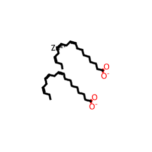 CC/C=C\C/C=C\C/C=C\CCCCCCCC(=O)[O-].CC/C=C\C/C=C\C/C=C\CCCCCCCC(=O)[O-].[Zn+2]